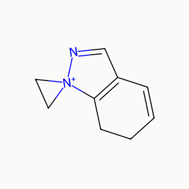 C1=CC2=C(CC1)[N+]1(CC1)N=C2